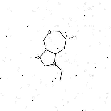 CCN1CNC2COC[C@H](C)CC21